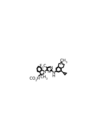 CN1CCc2c(cc(Nc3ncc(C(F)(F)F)c(N4CC(C)(CC(=O)O)c5ccccc54)n3)cc2C2CC2)C1